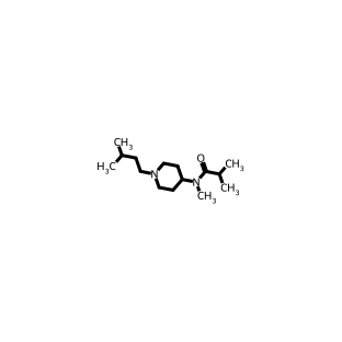 CC(C)CCN1CCC(N(C)C(=O)C(C)C)CC1